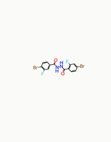 O=C(NNC(=O)c1ccc(Br)cc1F)c1ccc(Br)c(F)c1